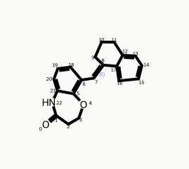 O=C1CCOc2c(/C=C3\CCCc4ccccc43)cccc2N1